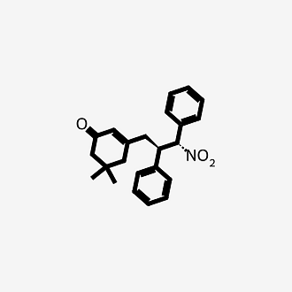 CC1(C)CC(=O)C=C(C[C@H](c2ccccc2)[C@H](c2ccccc2)[N+](=O)[O-])C1